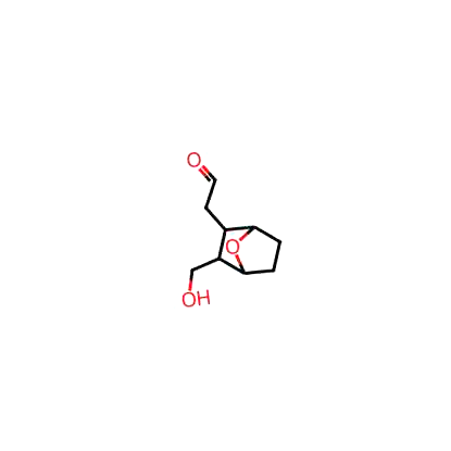 O=CCC1C2CCC(O2)C1CO